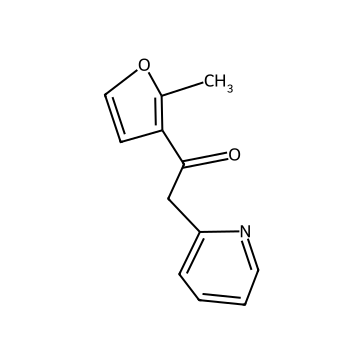 Cc1occc1C(=O)Cc1ccccn1